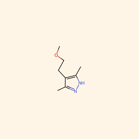 COCCc1c(C)n[nH]c1C